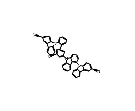 N#Cc1cc(-c2ccccc2-n2c3ccccc3c3cc(C#N)ccc32)cc(-n2c3ccccc3c3c(-n4c5ccccc5c5cc(C#N)ccc54)cccc32)c1